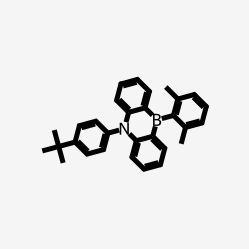 Cc1cccc(C)c1B1c2ccccc2N(c2ccc(C(C)(C)C)cc2)c2ccccc21